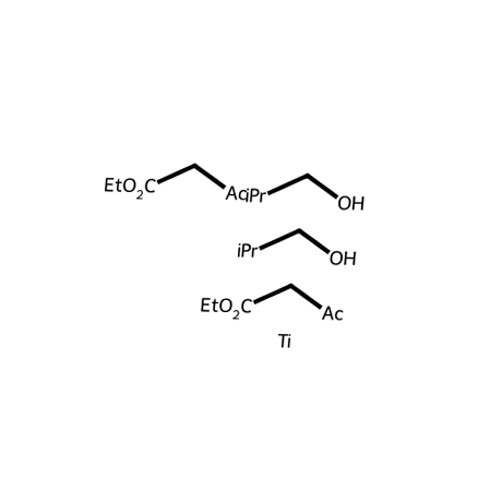 CC(C)CO.CC(C)CO.CCOC(=O)CC(C)=O.CCOC(=O)CC(C)=O.[Ti]